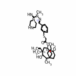 C=C[C@]1(C)C[C@@H](OC(=O)CSc2cccc(/C=N/N(C)C(=N)N3CCNCC3)c2)C2C(C)CC34CC(CCC3=O)(C24)[C@@H](C)[C@@H]1O